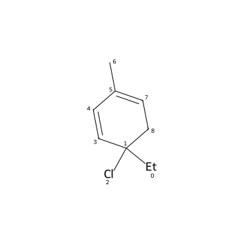 CCC1(Cl)C=CC(C)=CC1